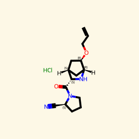 C=CCO[C@@H]1C[C@@H]2C[C@H]1N[C@@H]2C(=O)N1CCC[C@H]1C#N.Cl